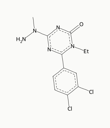 CCn1c(-c2ccc(Cl)c(Cl)c2)nc(N(C)N)nc1=O